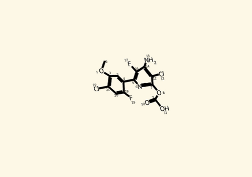 COc1cc(-c2nc(OC(=O)O)c(Cl)c(N)c2F)c(F)cc1Cl